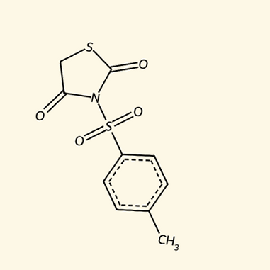 Cc1ccc(S(=O)(=O)N2C(=O)CSC2=O)cc1